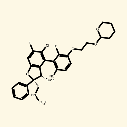 CO[C@H]1c2c(cc(F)c(Cl)c2-c2c(C#N)ccc(OCCOC3CCCCO3)c2F)O[C@]1(CNC(=O)O)c1ccccc1